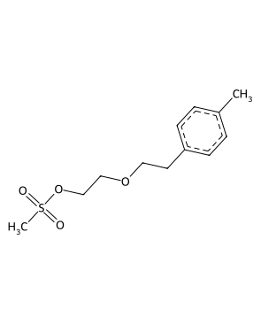 Cc1ccc(CCOCCOS(C)(=O)=O)cc1